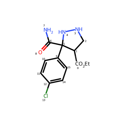 CCOC(=O)C1CNNC1(C(N)=O)c1ccc(Cl)cc1